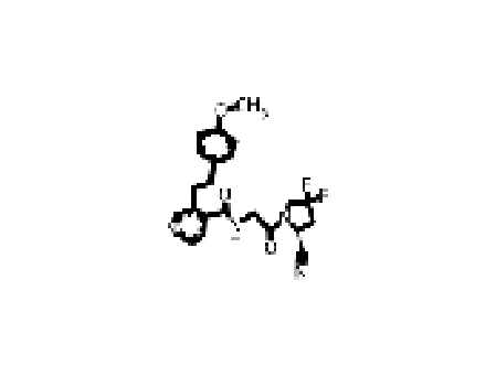 COc1ccc(CCc2cnccc2C(=O)NCC(=O)N2CC(F)(F)C[C@H]2C#N)cc1